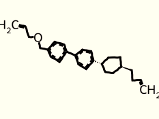 C=CCC[C@H]1CC[C@H](c2ccc(-c3ccc(COCC=C)cc3)cc2)CC1